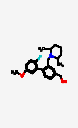 COc1ccc(F)c(-c2ccc(CO)cc2CN2C(C)CCCC2C)c1